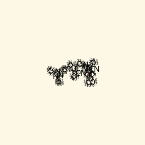 N#Cc1ccc(-c2cccc3cccc(-c4ccc(-c5nc(-c6ccccc6)nc(-c6cccc(-c7cc(-c8ccccc8C#N)cc8c(-c9ccc(-c%10nc(-c%11ccccc%11)nc(-c%11ccccc%11)n%10)cc9)cccc78)c6)n5)cc4)c23)cc1